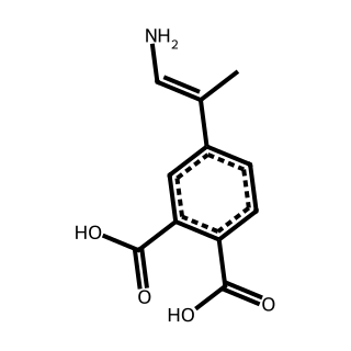 CC(=CN)c1ccc(C(=O)O)c(C(=O)O)c1